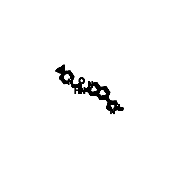 Cn1cc(-c2ccc3cnc(NC(=O)CN4CCC5(CC4)CC5)cc3c2)cn1